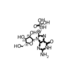 Nc1nc2c(nc(Br)n2[C@@H]2O[C@H](CO)[C@@H](O)[C@H]2O)c(=O)[nH]1.O=P(O)(O)O